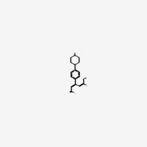 C=C(F)/C=C(\C=C(\F)CF)c1ccc(C2CCC(C)CC2)cc1